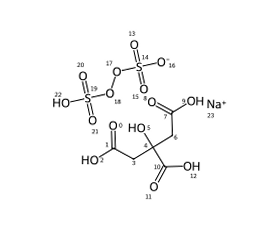 O=C(O)CC(O)(CC(=O)O)C(=O)O.O=S(=O)([O-])OOS(=O)(=O)O.[Na+]